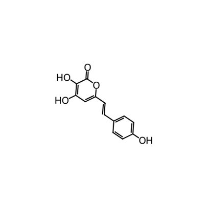 O=c1oc(C=Cc2ccc(O)cc2)cc(O)c1O